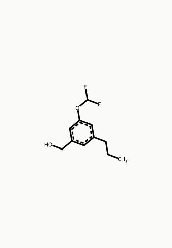 CCCc1cc([CH]O)cc(OC(F)F)c1